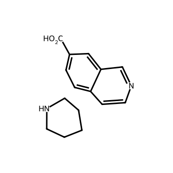 C1CCNCC1.O=C(O)c1ccc2ccncc2c1